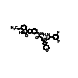 CCc1cccc2c1NC(=O)C21Cc2ccc(NC(=O)CCC3(NCC(N)c4cc(F)cc(F)c4)CC4(CCOCC4)C3)cc2C1